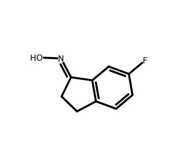 O/N=C1\CCc2ccc(F)cc21